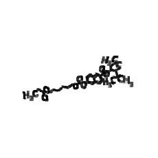 C=CC(=O)OCCCCCCOC(=O)Oc1ccc2cc(C(=O)OC3CC(C)CCC3C(C)C)ccc2c1